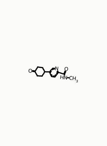 CNC(=O)c1ccc(C2CCC(=O)CC2)cn1